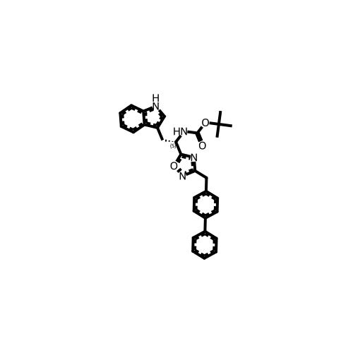 CC(C)(C)OC(=O)N[C@@H](Cc1c[nH]c2ccccc12)c1nc(Cc2ccc(-c3ccccc3)cc2)no1